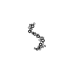 N#Cc1c(NS(=O)(=O)N2CC[C@@H](F)C2)ccc(F)c1Oc1ccc2ncn(-c3cnc(N4CCC5(CC4)CN(c4cccc6c4CN(C4CCC(=O)NC4=O)C6=O)C5)nc3)c(=O)c2c1